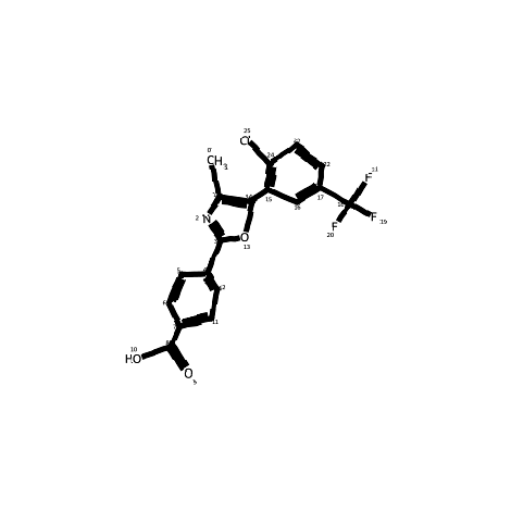 Cc1nc(-c2ccc(C(=O)O)cc2)oc1-c1cc(C(F)(F)F)ccc1Cl